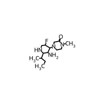 CCC(C)C1NCC(F)C(N2CCN(C)C(=O)C2)C1N